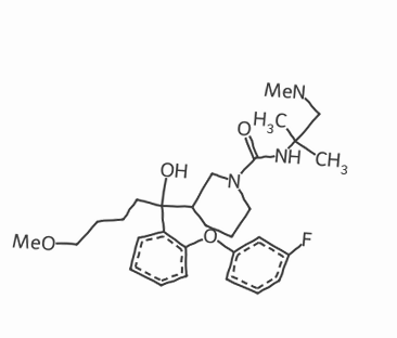 CNCC(C)(C)NC(=O)N1CCCC(C(O)(CCCCOC)c2ccccc2Oc2cccc(F)c2)C1